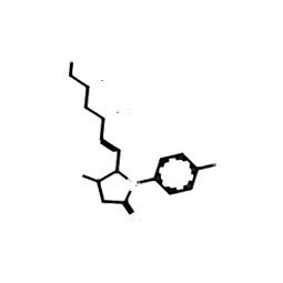 CC(C)C1CC(=O)N(c2ccc(F)cc2)C1C=C[C@@H](O)C[C@@H](O)CC(=O)O